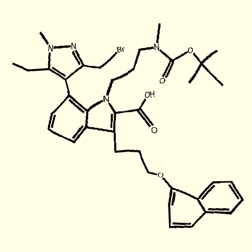 CCc1c(-c2cccc3c(CCCOc4cccc5ccccc45)c(C(=O)O)n(CCCN(C)C(=O)OC(C)(C)C)c23)c(CBr)nn1C